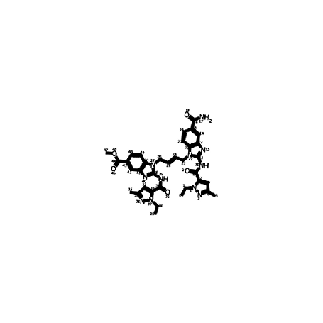 CCn1nc(C)cc1C(=O)Nc1nc2cc(C(N)=O)ccc2n1C/C=C/Cn1c(NC(=O)c2cc(C)nn2CC)nc2cc(C(=O)OC)ccc21